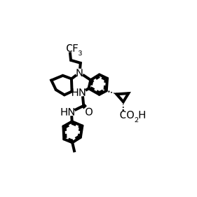 Cc1ccc(NC(=O)Nc2cc([C@@H]3C[C@@H]3C(=O)O)ccc2N(CCC(F)(F)F)C2CCCCC2)cc1